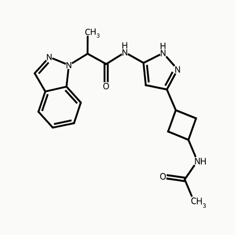 CC(=O)NC1CC(c2cc(NC(=O)C(C)n3ncc4ccccc43)[nH]n2)C1